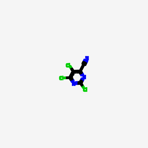 N#Cc1nc(Cl)nc(Cl)c1Cl